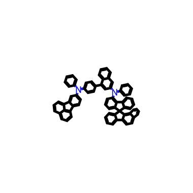 c1ccc(N(c2ccc(-c3cc(N(c4ccccc4)c4cccc5c4-c4ccccc4C54c5ccccc5-c5ccc6ccccc6c54)cc4ccccc34)cc2)c2ccc3c(c2)-c2cccc4cccc-3c24)cc1